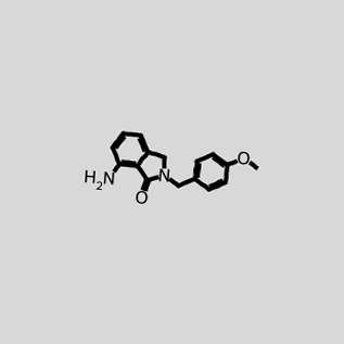 COc1ccc(CN2Cc3cccc(N)c3C2=O)cc1